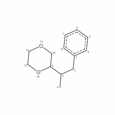 [CH2]C(Cc1ccccc1)C1COCCO1